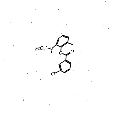 CCOC(=O)N(C)c1cccc(C)c1OC(=O)c1cccc(Cl)c1